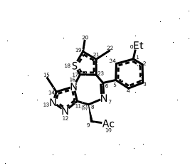 CCc1cccc(C2=N[C@@H](CC(C)=O)c3nnc(C)n3-c3sc(C)c(C)c32)c1